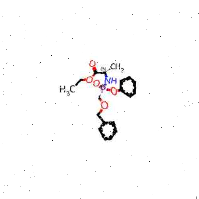 CCOC(=O)[C@H](C)N[P@@](=O)(COCc1ccccc1)Oc1ccccc1